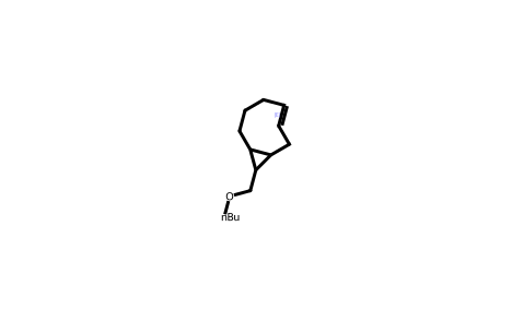 CCCCOCC1C2C/C=C/CCCC21